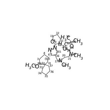 CO[C@@H]1CC[C@H](c2nn(C3CCCCO3)cc2CN(C)CCN(C)C(=O)OC(C)(C)C)CC12CCCCC2